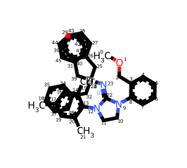 COCc1ccccc1N1CCN(c2c(C)cc(C)cc2C)/C1=[N]\[Zr]([CH2]c1ccccc1)([CH2]c1ccccc1)[CH2]c1ccccc1